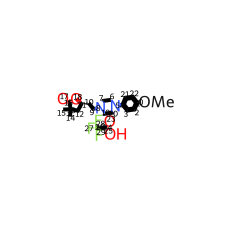 COc1ccc(N2CCN(CC[C@@H]3CC(C)(C)C(=O)O3)CC2)cc1.O=C(O)C(F)(F)F